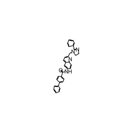 O=C(Nc1ccc2nc(CN3CCN=C3c3ccccc3)ccc2c1)c1ccc(-c2ccccc2)cc1